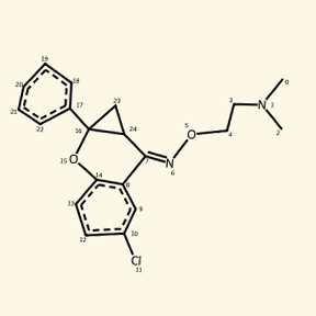 CN(C)CCON=C1c2cc(Cl)ccc2OC2(c3ccccc3)CC12